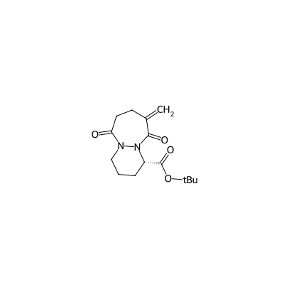 C=C1CCC(=O)N2CCC[C@@H](C(=O)OC(C)(C)C)N2C1=O